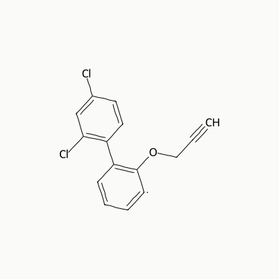 C#CCOc1[c]cccc1-c1ccc(Cl)cc1Cl